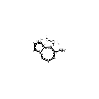 CC.CC(C)c1cccc2cccc-2c1